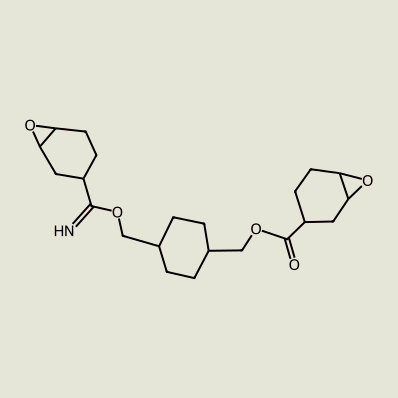 N=C(OCC1CCC(COC(=O)C2CCC3OC3C2)CC1)C1CCC2OC2C1